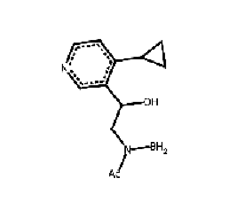 BN(CC(O)c1cnccc1C1CC1)C(C)=O